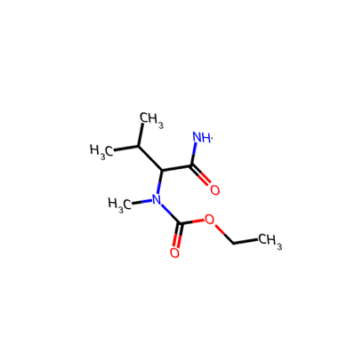 CCOC(=O)N(C)C(C([NH])=O)C(C)C